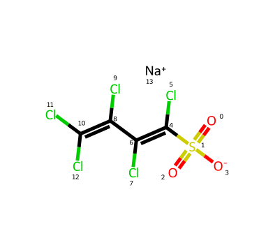 O=S(=O)([O-])C(Cl)=C(Cl)C(Cl)=C(Cl)Cl.[Na+]